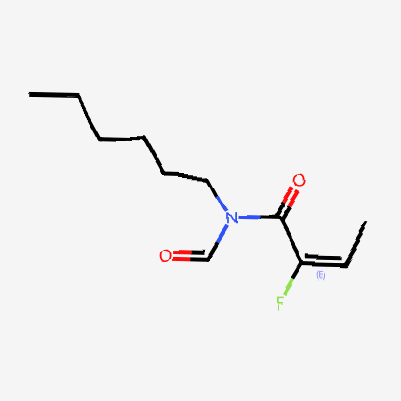 C/C=C(/F)C(=O)N(C=O)CCCCCC